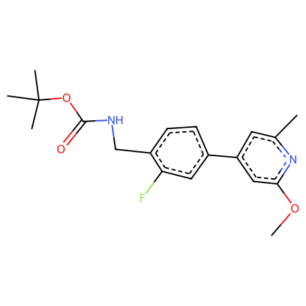 COc1cc(-c2ccc(CNC(=O)OC(C)(C)C)c(F)c2)cc(C)n1